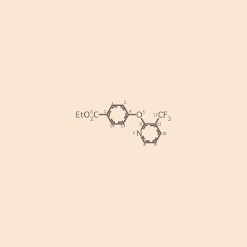 CCOC(=O)c1ccc(Oc2ncccc2C(F)(F)F)cc1